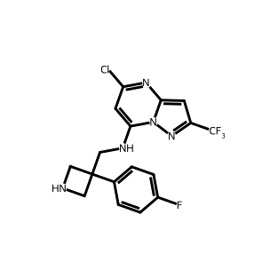 Fc1ccc(C2(CNc3cc(Cl)nc4cc(C(F)(F)F)nn34)CNC2)cc1